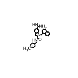 CN1CCC(CNC(=O)c2cc3ccc(C(=N)N)cc3n2Cc2cccc3ccccc23)CC1